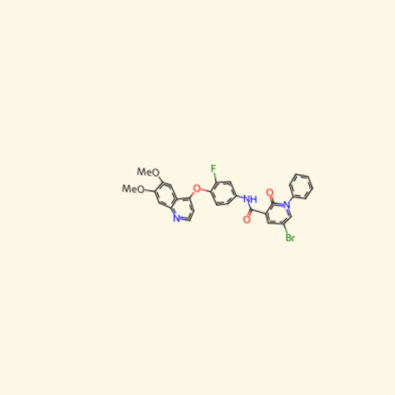 COc1cc2nccc(Oc3ccc(NC(=O)c4cc(Br)cn(-c5ccccc5)c4=O)cc3F)c2cc1OC